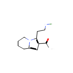 COC(=O)c1cc2n(c1CCNCl)CCCC2